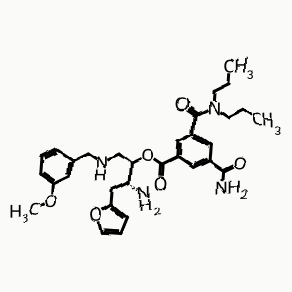 CCCN(CCC)C(=O)c1cc(C(N)=O)cc(C(=O)O[C@H](CNCc2cccc(OC)c2)[C@H](N)Cc2ccco2)c1